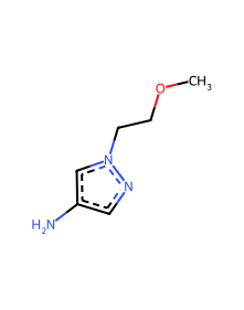 COCCn1cc(N)cn1